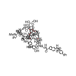 CN[C@H](CC(C)C)C(=O)N[C@H]1C(=O)N[C@@H](CC(N)=O)C(=O)NC2C(=O)N[C@H]3C(=O)N[C@H](C(=O)NC(C(=O)NCCCNC(=O)c4ccc5cc(NS(=O)(=O)c6ccc(C(C)C)cc6)ccc5c4)c4cc(O)cc(O)c4-c4cc3ccc4O)[C@H](O)c3ccc(c(Cl)c3)Oc3cc2cc(c3O[C@@H]2O[C@H](CO)[C@@H](O)[C@H](O)[C@H]2OC2C[C@](C)(N)[C@H](O)[C@H](C)O2)Oc2ccc(cc2Cl)[C@H]1O